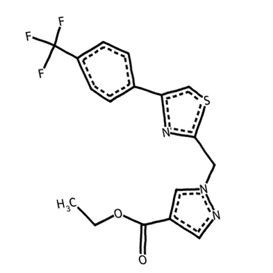 CCOC(=O)c1cnn(Cc2nc(-c3ccc(C(F)(F)F)cc3)cs2)c1